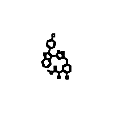 CONC(=O)c1cc(Cn2cc(-c3c(-c4ccc(Cl)cc4)nc4ccccn34)nn2)ccc1Cl